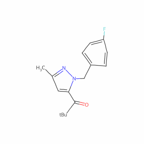 Cc1cc(C(=O)C(C)(C)C)n(Cc2ccc(F)cc2)n1